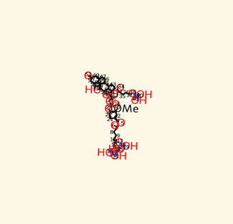 COc1cc(C(=O)OCCCCC(CON(O)O)ON(O)O)ccc1OC(=O)OCC(=O)[C@@]1(OC(=O)CCCON(O)O)CCC2C3CCC4=CC(=O)CC[C@]4(C)[C@H]3C(O)C[C@@]21C